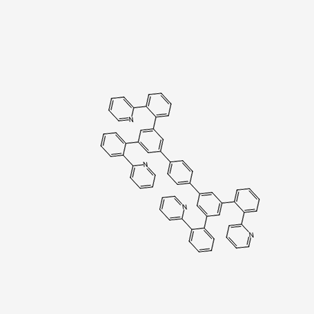 c1ccc(-c2ccccc2-c2cc(-c3ccc(-c4cc(-c5ccccc5-c5ccccn5)cc(-c5ccccc5-c5ccccn5)c4)cc3)cc(-c3ccccc3-c3ccccn3)c2)nc1